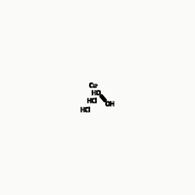 Cl.Cl.OO.[Cu]